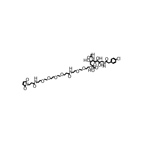 CC(=O)N[C@H]1[C@H]([C@H](O)[C@H](O)CNC(=O)Cc2ccc(Cl)cc2)O[C@@](OCCOCCOCCNC(=O)CCOCCOCCOCCOCCNC(=O)CCN2C(=O)C=CC2=O)(C(=O)O)C[C@@H]1O